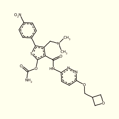 CN(C)Cc1c(-c2ccc([N+](=O)[O-])cc2)sc(OC(N)=O)c1C(=O)Nc1ccc(OCC2COC2)nn1